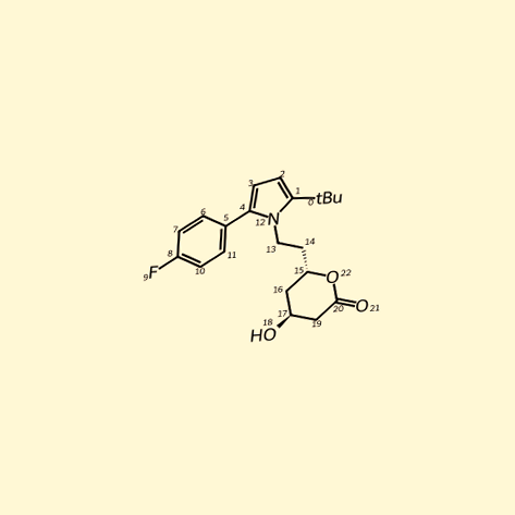 CC(C)(C)c1ccc(-c2ccc(F)cc2)n1CC[C@H]1C[C@H](O)CC(=O)O1